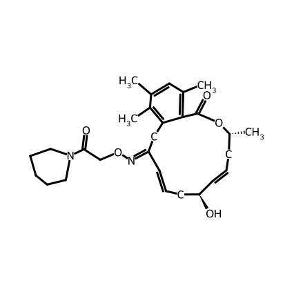 Cc1cc(C)c2c(c1C)CC(=NOCC(=O)N1CCCCC1)/C=C/C[C@H](O)/C=C/C[C@@H](C)OC2=O